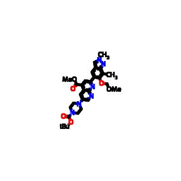 COCOc1c(-c2cc(C(=O)OC)c3cc(N4CCN(C(=O)OC(C)(C)C)CC4)cnc3n2)cc2cn(C)nc2c1C